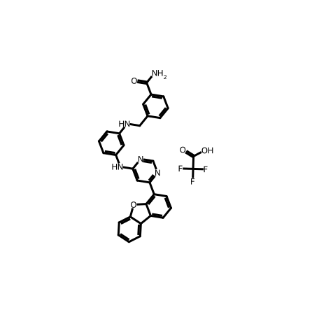 NC(=O)c1cccc(CNc2cccc(Nc3cc(-c4cccc5c4oc4ccccc45)ncn3)c2)c1.O=C(O)C(F)(F)F